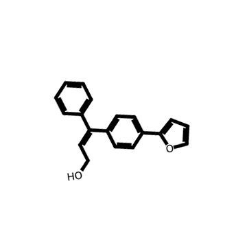 OC/C=C(/c1ccccc1)c1ccc(-c2ccco2)cc1